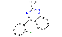 O=C(O)c1nc(-c2ccccc2Cl)c2ccccc2n1